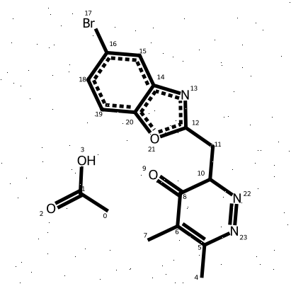 CC(=O)O.CC1=C(C)C(=O)C(Cc2nc3cc(Br)ccc3o2)N=N1